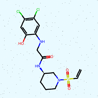 C=CS(=O)(=O)N1CCC[C@@H](NC(=O)CNc2cc(Cl)c(Cl)cc2O)C1